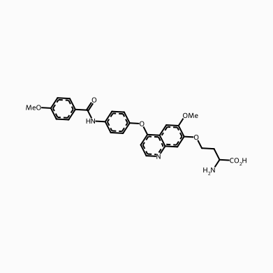 COc1ccc(C(=O)Nc2ccc(Oc3ccnc4cc(OCCC(N)C(=O)O)c(OC)cc34)cc2)cc1